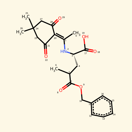 CC(N[C@@H](CC(C)C(=O)OCc1ccccc1)C(=O)O)=C1C(=O)CC(C)(C)CC1=O